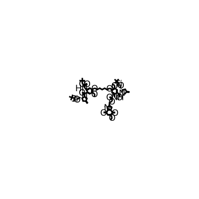 C=C1C[C@@H](CO[Si](C)(C)C(C)(C)C)N(C(=O)c2cc(OC)c(OCCCCCOc3cc(NC(=O)OC(C)(C)C)c(C(=O)N4CC(=C)C[C@H]4CO[Si](C)(C)C(C)(C)C)cc3OC)cc2NC(=O)OCc2cc3c(n2C)C(=O)C=C(OC)C3=O)C1